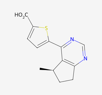 C[C@@H]1CCc2ncnc(-c3ccc(C(=O)O)s3)c21